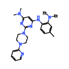 CCN(CC)c1cc(C)ccc1Nc1cc(N(C)C)nc(N2CCN(c3ccccn3)CC2)n1